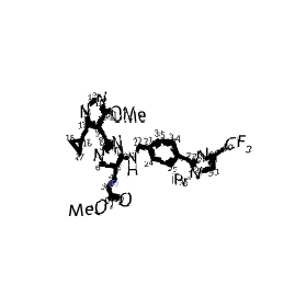 COC(=O)/C=C/c1cnc(-c2c(OC)ncnc2C2CC2)nc1NCc1ccc(-c2nc(C(F)(F)F)cn2C(C)C)cc1